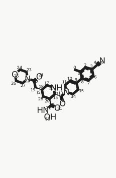 Cc1cc(C#N)ccc1C1=CCN(C(=O)[C@H]2NC[C@H](CC(=O)N3CCOCC3)C[C@@H]2C(=O)NO)CC1